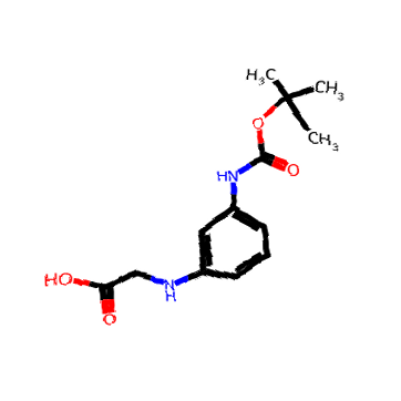 CC(C)(C)OC(=O)Nc1cccc(NCC(=O)O)c1